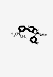 CNc1nc2cnc(-c3cccc(N(C)C)c3)cc2n1-c1cccc(F)c1